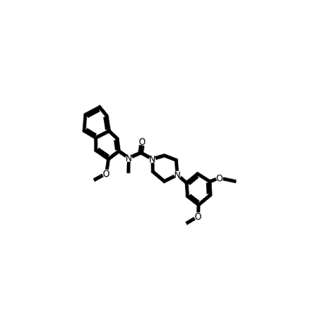 COc1cc(OC)cc(N2CCN(C(=O)N(C)c3cc4ccccc4cc3OC)CC2)c1